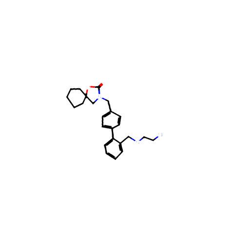 NCCNCc1ccccc1-c1ccc(CN2CC3(CCCCC3)OC2=O)cc1